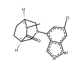 CN1C(=O)[C@@H]2CC[C@H]1CN(c1cc(Cl)cc3[nH]ncc13)C2